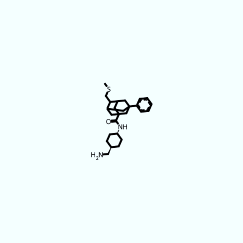 CSCC1C2CC3(C(=O)N[C@H]4CC[C@H](CN)CC4)CC1CC(c1ccccc1)(C2)C3